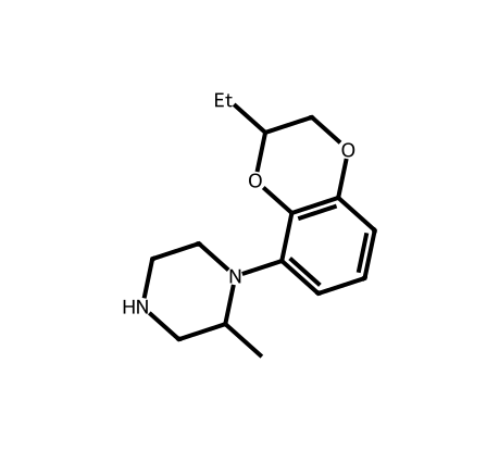 CCC1COc2cccc(N3CCNCC3C)c2O1